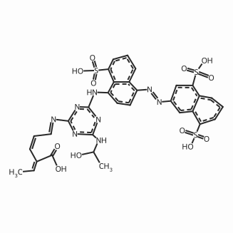 C\C=C(/C=C\C=N\c1nc(Nc2ccc(N=Nc3cc(S(=O)(=O)O)c4cccc(S(=O)(=O)O)c4c3)c3cccc(S(=O)(=O)O)c23)nc(NC(C)O)n1)C(=O)O